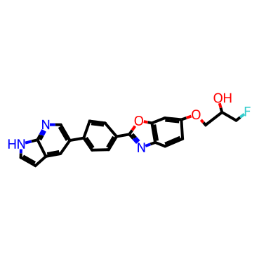 OC(CF)COc1ccc2nc(-c3ccc(-c4cnc5[nH]ccc5c4)cc3)oc2c1